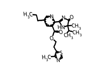 CCCc1cnc(C2=NC(=O)C(C)(C(C)C)N2)c(C(=O)OCCc2scnc2C)c1